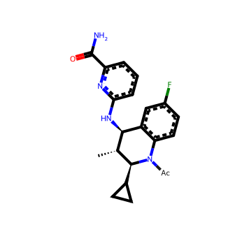 CC(=O)N1c2ccc(F)cc2[C@H](Nc2cccc(C(N)=O)n2)[C@@H](C)[C@@H]1C1CC1